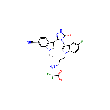 Cn1cc(-c2n[nH]c(=O)n2-c2cn(CCCN)c3ccc(F)cc23)c2ccc(C#N)cc21.O=C(O)C(F)(F)F